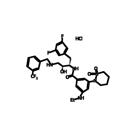 CCNc1cc(C(=O)N[C@@H](Cc2cc(F)cc(F)c2)[C@H](O)CNCc2cccc(C(F)(F)F)c2)cc(N2CCCCS2(=O)=O)c1.Cl